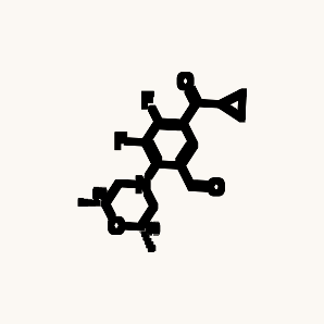 C[C@@H]1CN(c2c(C=O)cc(C(=O)C3CC3)c(F)c2F)C[C@H](C)O1